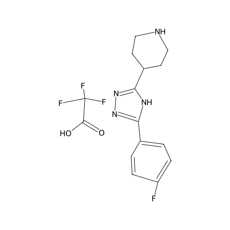 Fc1ccc(-c2nnc(C3CCNCC3)[nH]2)cc1.O=C(O)C(F)(F)F